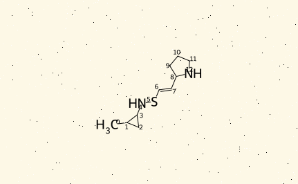 CC1CC1NS/C=C/C1CCCN1